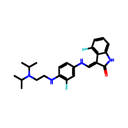 CC(C)N(CCNc1ccc(N/C=C2/C(=O)Nc3cccc(F)c32)cc1F)C(C)C